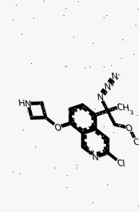 COCC(C)(N=[N+]=[N-])c1ccc(OC2CNC2)c2cnc(Cl)cc12